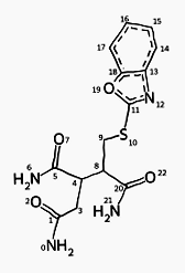 NC(=O)CC(C(N)=O)C(CSc1nc2ccccc2o1)C(N)=O